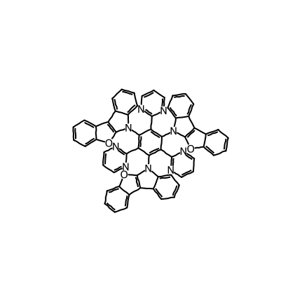 c1cnc(-c2c(-n3c4ccccc4c4c5ccccc5oc43)c(-c3ncccn3)c(-n3c4ccccc4c4c5ccccc5oc43)c(-c3ncccn3)c2-n2c3ccccc3c3c4ccccc4oc32)nc1